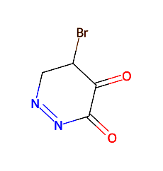 O=C1N=NCC(Br)C1=O